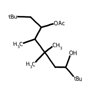 CC(=O)OC(CC(C)(C)C)C(C)C(C)(C)CC(O)C(C)(C)C